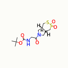 CC(C)(C)OC(=O)NCC(=O)N1C[C@@H]2CS(=O)(=O)SC[C@H]2C1